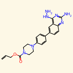 C=CCOC(=O)N1CCN(c2ccc(-c3ccc4nc(N)nc(NN)c4c3)cc2)CC1